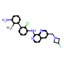 Cc1c(N)cccc1-c1cccc(Nc2nccc3cc(CN4CC(F)C4)cnc23)c1Cl